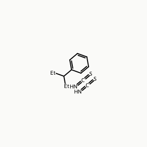 CCC(CC)c1ccccc1.N=C=S.N=C=S